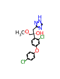 COC[C@@](O)(Cc1nc[nH]n1)c1ccc(Oc2ccc(Cl)cc2)cc1Cl